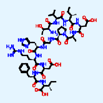 CC[C@H](C)[C@H](NC(=O)[C@H](Cc1ccccc1)NC(=O)[C@H](CC(=O)O)NC(=O)[C@H](CCCNC(=N)N)NC(=O)[C@H](Cc1c[nH]cn1)NC(=O)CNC(=O)[C@@H]1CCCN1C(=O)[C@H](C)NC(=O)[C@H](CC(=O)O)NC(=O)[C@@H](NC(=O)[C@@H](NC(=O)[C@@H](N)[C@@H](C)O)C(C)C)[C@@H](C)CC)C(=O)O